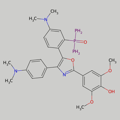 COc1cc(-c2nc(-c3ccc(N(C)C)cc3)c(-c3ccc(N(C)C)cc3P(=O)(P)P)o2)cc(OC)c1O